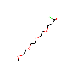 COCCOCCOCCOCCC(=O)Cl